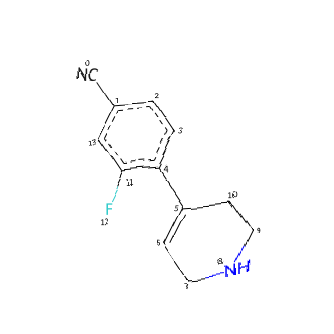 N#Cc1ccc(C2=CCNCC2)c(F)c1